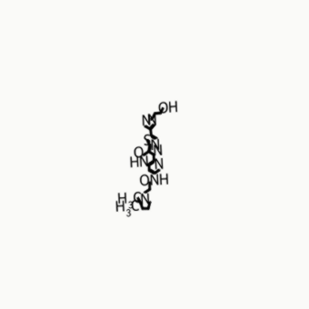 CC1(C)CCCN1CCC(=O)Nc1cnc2c(c1)[nH]c(=O)c1c2nn2cc(-c3cnn(CCO)c3)sc12